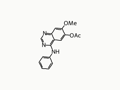 COc1cc2ncnc(Nc3ccccc3)c2cc1OC(C)=O